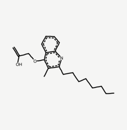 C=C(O)COc1c(C)c(CCCCCCCC)nc2ccccc12